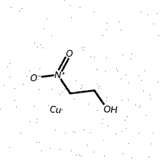 O=[N+]([O-])CCO.[Cu]